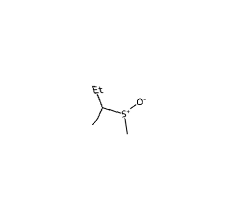 CCC(C)[S+](C)[O-]